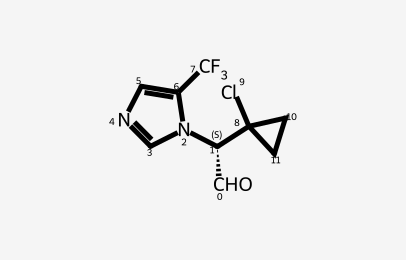 O=C[C@H](n1cncc1C(F)(F)F)C1(Cl)CC1